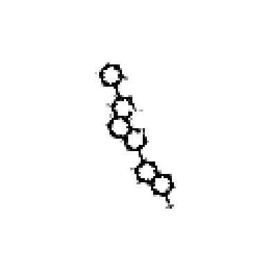 Brc1ccc2cc(-c3cnc4c(ccc5cc(-c6ccccc6)cnc54)c3)ccc2c1